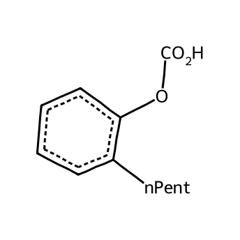 CCCCCc1ccccc1OC(=O)O